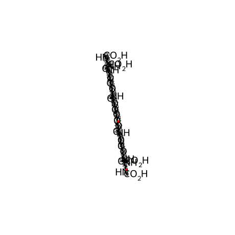 O=C(O)NCCCC[C@H](NC(=O)O)C(=O)NCCCOCCOCCOCCCNC(=O)CCOCCOCCOCCOCCOCCC(=O)NCCCOCCOCCOCCCNC(=O)[C@H](CCCCNC(=O)O)NC(=O)O